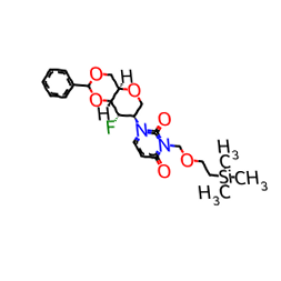 C[Si](C)(C)CCOCn1c(=O)ccn([C@@H]2CO[C@@H]3COC(c4ccccc4)O[C@H]3[C@H]2F)c1=O